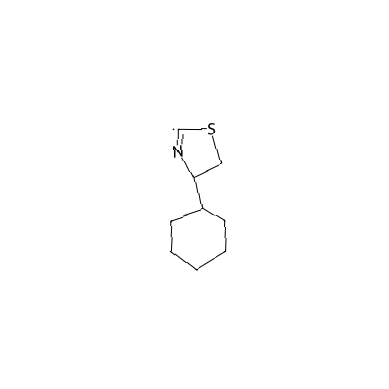 [C]1=NC(C2CCCCC2)CS1